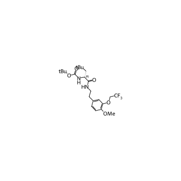 COc1ccc(CCNC(=O)[C@@H](CC(C)(C)C)NC(=O)OC(C)(C)C)cc1OCC(F)(F)F